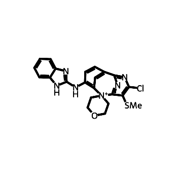 CSc1c(Cl)nc2nc1[N+]1(CCOCC1)c1cc-2ccc1Nc1nc2ccccc2[nH]1